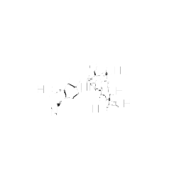 COC(=O)[C@@H](Cc1ccc(C#N)c(C)c1)NC(=O)OC(C)(C)C